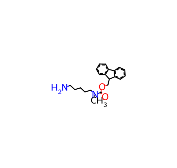 CN(CCCCCN)C(=O)OCC1c2ccccc2-c2ccccc21